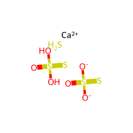 O=S(O)(O)=S.O=S([O-])([O-])=S.S.[Ca+2]